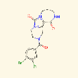 O=C1NCCCn2c1c1n(c2=O)CCN(C(=O)c2ccc(Br)c(Cl)c2)C1